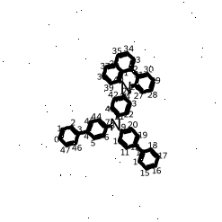 c1ccc(-c2ccc(N(c3ccc(-c4ccccc4)cc3)c3ccc(N4c5ccccc5-c5cccc6cccc4c56)cc3)cc2)cc1